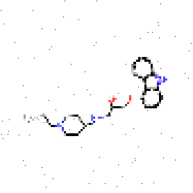 OC(CNCC1CCN(CCC(F)(F)F)CC1)COc1cccc2[nH]c3ccccc3c12